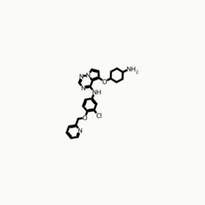 NC1CCC(Oc2ccn3ncnc(Nc4ccc(OCc5ccccn5)c(Cl)c4)c23)CC1